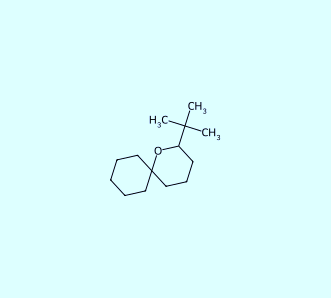 CC(C)(C)C1CCCC2(CCCCC2)O1